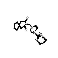 O=C1CC2(CCCC2)CC(=O)N1CN1CCN(c2ncccn2)CC1